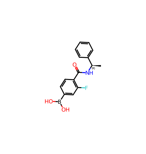 C[C@@H](NC(=O)c1ccc(B(O)O)cc1F)c1ccccc1